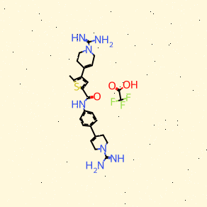 Cc1sc(C(=O)Nc2ccc(C3=CCN(C(=N)N)CC3)cc2)cc1C1=CCN(C(=N)N)CC1.O=C(O)C(F)(F)F